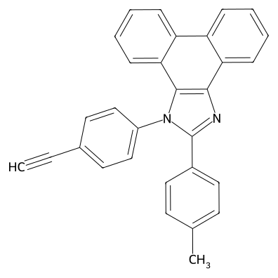 C#Cc1ccc(-n2c(-c3ccc(C)cc3)nc3c4ccccc4c4ccccc4c32)cc1